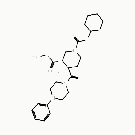 O=C(NO)[C@H]1CN(C(=O)OC2CCCCC2)CC[C@@]1(O)C(=O)N1CCN(c2ccccc2)CC1